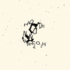 Nc1ncnc2c1c(C(=O)O)cn2[C@H]1C[C@H](O)[C@@H](CO)O1